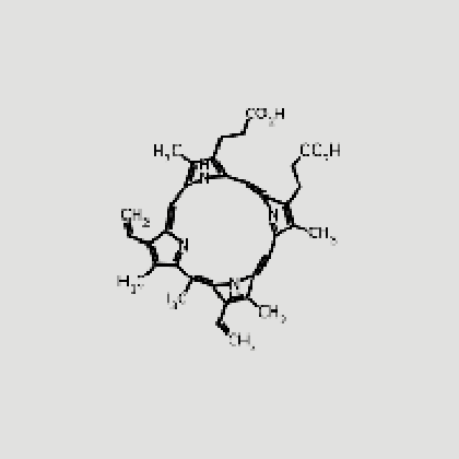 C=CC1=C(C)c2nc1cc1[nH]c(cc3nc(cc4[nH]c(c2C)c(C=C)c4C)C(C)=C3CCC(=O)O)c(CCC(=O)O)c1C